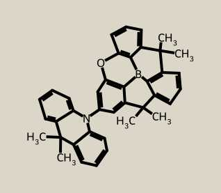 CC1(C)c2ccccc2N(c2cc3c4c(c2)C(C)(C)c2cccc5c2B4c2c(cccc2C5(C)C)O3)c2ccccc21